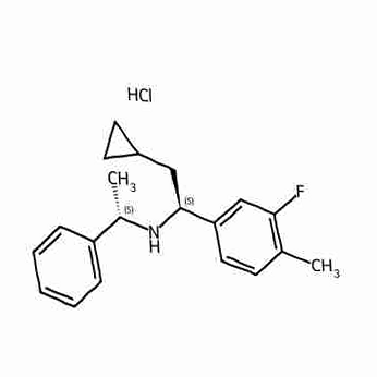 Cc1ccc([C@H](CC2CC2)N[C@@H](C)c2ccccc2)cc1F.Cl